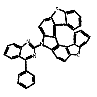 c1ccc(-c2nc(-n3c4ccc5oc6ccccc6c5c4c4c5c(ccc43)sc3ccccc35)nc3ccccc23)cc1